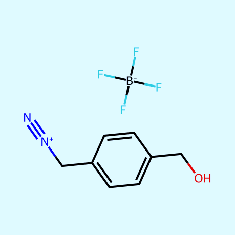 F[B-](F)(F)F.N#[N+]Cc1ccc(CO)cc1